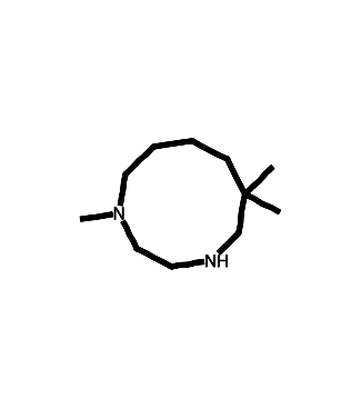 CN1CCCCC(C)(C)CNCC1